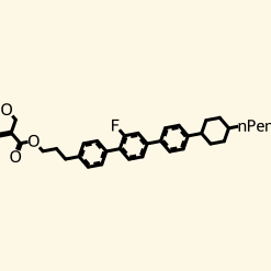 C=C(CO)C(=O)OCCCc1ccc(-c2ccc(-c3ccc(C4CCC(CCCCC)CC4)cc3)cc2F)cc1